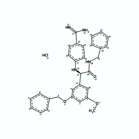 COc1cc(OCc2ccccc2)cc([C@@H](Nc2ccc(C(=N)N)cc2)C(=O)NCc2ccccc2)c1.Cl